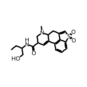 CCC(CO)NC(=O)C1C=C2c3cccc4c3C(=CS4(=O)=O)CC2N(C)C1